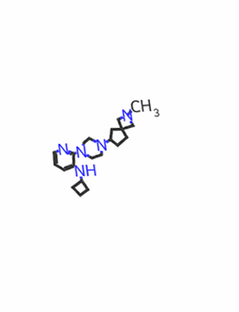 CN1CC2(CCC(N3CCN(c4ncccc4NC4CCC4)CC3)C2)C1